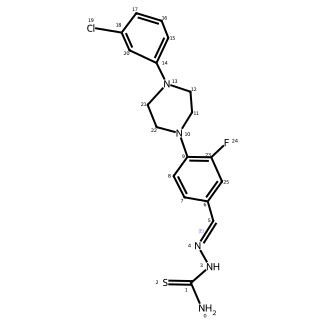 NC(=S)N/N=C/c1ccc(N2CCN(c3cccc(Cl)c3)CC2)c(F)c1